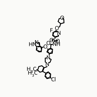 CC1(C)CCC(CN2CCN(c3ccc(C(=O)NS(=O)(=O)c4cnc(OCC5CCOCC5)c(F)c4)c(Oc4cccc5[nH]ncc45)c3)CC2)=C(c2ccc(Cl)cc2)C1